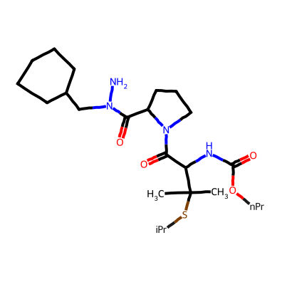 CCCOC(=O)NC(C(=O)N1CCCC1C(=O)N(N)CC1CCCCC1)C(C)(C)SC(C)C